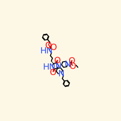 CCOC(=O)N1CCC(N2C(=O)[C@H](CCCCNC(=O)OCc3ccccc3)NC(=O)C23CCN(CCc2ccccc2)CC3)CC1